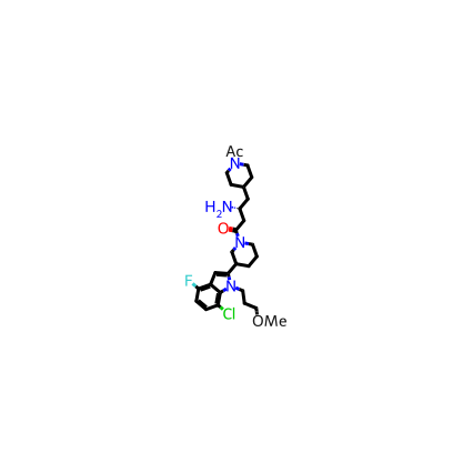 COCCCn1c(C2CCCN(C(=O)C[C@H](N)CC3CCN(C(C)=O)CC3)C2)cc2c(F)ccc(Cl)c21